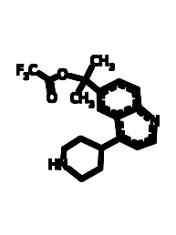 CC(C)(OC(=O)C(F)(F)F)c1ccc2nccc(C3CCNCC3)c2c1